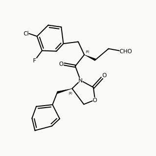 O=CCC[C@H](Cc1ccc(Cl)c(F)c1)C(=O)N1C(=O)OC[C@H]1Cc1ccccc1